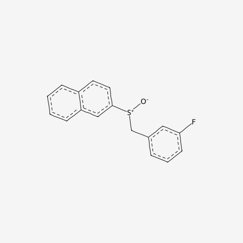 [O-][S+](Cc1cccc(F)c1)c1ccc2ccccc2c1